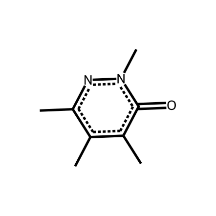 Cc1nn(C)c(=O)c(C)c1C